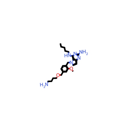 CCCCCNc1nc(N)nc2ccn(Cc3ccc(COCCCCN)cc3OC)c12